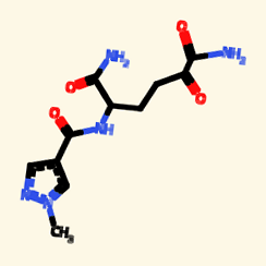 Cn1cc(C(=O)NC(CCC(=O)C(N)=O)C(N)=O)cn1